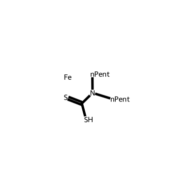 CCCCCN(CCCCC)C(=S)S.[Fe]